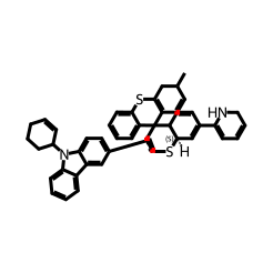 CC1C=CC2=C(C1)Sc1ccccc1C21c2cc(-c3ccc4c(c3)c3ccccc3n4C3C=CCCC3)ccc2S[C@@H]2C=C(C3=CC=CCN3)C=CC21